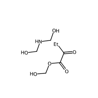 CCC(=O)C(=O)OCO.OCNCO